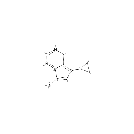 NC1=CS(C2CC2)=C2CN=CN=C12